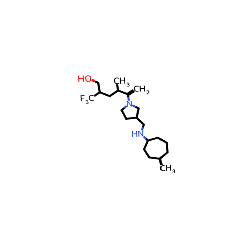 C=C(C(C)CC(CO)C(F)(F)F)N1CCC(CNC2CCCC(C)CC2)C1